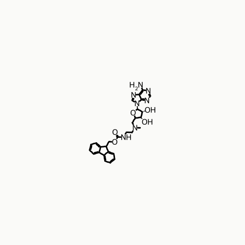 CN(CCNC(=O)OCC1c2ccccc2-c2ccccc21)CC1O[C@@H](n2cnc3c(N)ncnc32)[C@H](O)[C@@H]1O